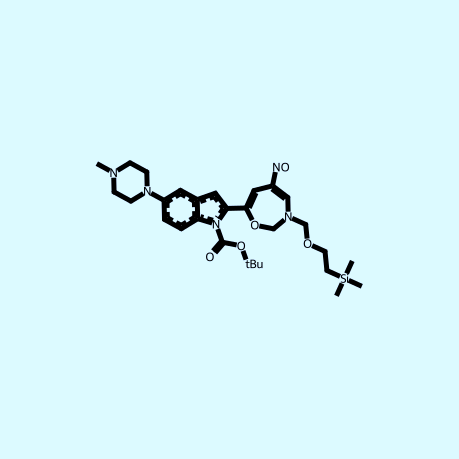 CN1CCN(c2ccc3c(c2)cc(C2=CC(N=O)=CN(COCC[Si](C)(C)C)CO2)n3C(=O)OC(C)(C)C)CC1